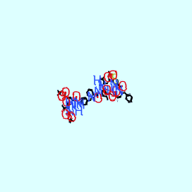 C=CCOC(=O)[C@@H](C)C[C@H](Cc1ccccc1)NC(=O)c1csc([C@@H](C[C@H](C(C)C)N(C)C(=O)[C@@H](NC(=O)[C@H]2CCCC[N+]2(C)Cc2ccc(NC(=O)C(CCC(=O)OC(C)(C)C)NC(=O)C(NC(=O)OC(C)(C)C)C(C)C)cc2)[C@@H](C)CC)OC(C)=O)n1